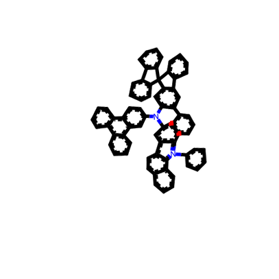 c1ccc(-c2cc3c(cc2N(c2ccc4c5ccccc5c5ccccc5c4c2)c2ccc4c(c2)c2ccc5ccccc5c2n4-c2ccccc2)C2(c4ccccc4-c4ccccc42)c2ccccc2-3)cc1